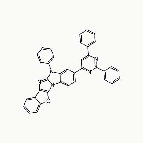 c1ccc(-c2cc(-c3ccc4c(c3)n(-c3ccccc3)c3nc5c6ccccc6oc5n43)nc(-c3ccccc3)n2)cc1